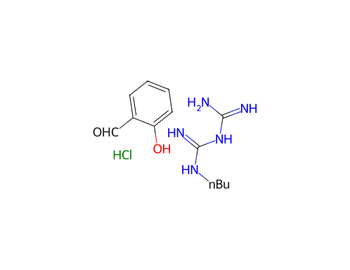 CCCCNC(=N)NC(=N)N.Cl.O=Cc1ccccc1O